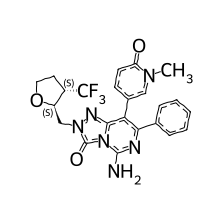 Cn1cc(-c2c(-c3ccccc3)nc(N)n3c(=O)n(C[C@H]4OCC[C@@H]4C(F)(F)F)nc23)ccc1=O